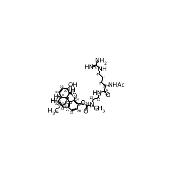 CC(=O)N[C@@H](CCCNC(=N)N)C(=O)NCCN(C)C(=O)Oc1ccc2c3c1O[C@H]1[C@@H](O)C=C[C@H]4[C@@H](C2)N(C)CC[C@@]341